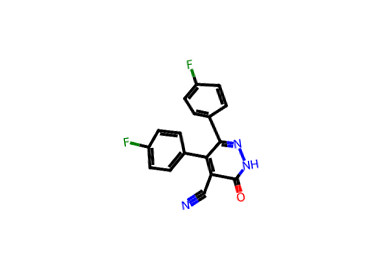 N#Cc1c(-c2ccc(F)cc2)c(-c2ccc(F)cc2)n[nH]c1=O